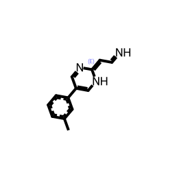 Cc1cccc(C2=CN/C(=C\C=N)N=C2)c1